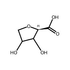 O=C(O)[C@@H]1OCC(O)C1O